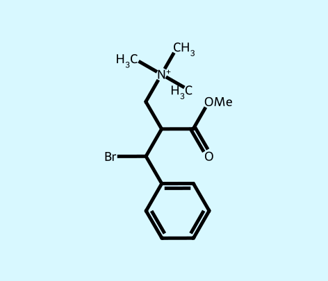 COC(=O)C(C[N+](C)(C)C)C(Br)c1ccccc1